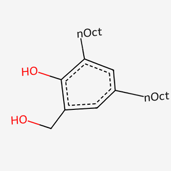 CCCCCCCCc1cc(CO)c(O)c(CCCCCCCC)c1